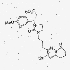 COc1ccc([C@H](CC(=O)O)N2CCN(CCCc3nc4c(cc3C(C)(C)C)CCCN4)C2=O)cn1